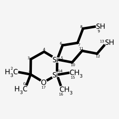 CC1(C)CC[Si](CCCS)(CCCS)[Si](C)(C)O1